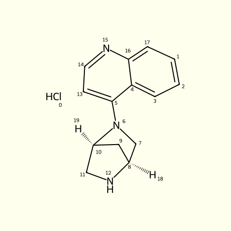 Cl.c1ccc2c(N3C[C@@H]4C[C@H]3CN4)ccnc2c1